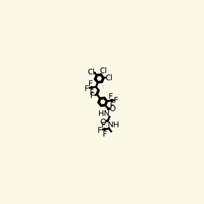 CC(NC(=O)CNC(=O)c1ccc(C(F)=CC(c2cc(Cl)c(Cl)c(Cl)c2)C(F)(F)F)cc1C(F)(F)F)C(F)(F)F